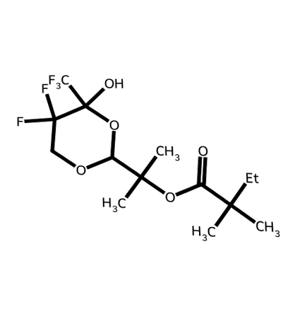 CCC(C)(C)C(=O)OC(C)(C)C1OCC(F)(F)C(O)(C(F)(F)F)O1